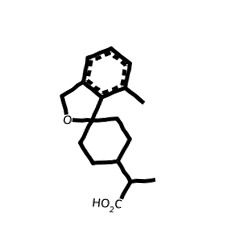 Cc1cccc2c1C1(CCC(C(C)C(=O)O)CC1)OC2